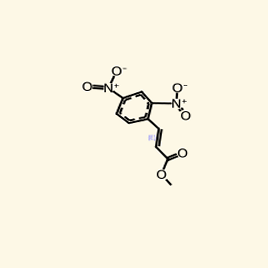 COC(=O)/C=C/c1ccc([N+](=O)[O-])cc1[N+](=O)[O-]